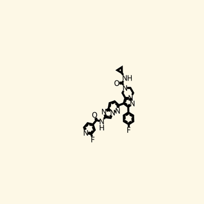 O=C(Nc1cn2nc(-c3c(-c4ccc(F)cc4)nn4c3CN(C(=O)NC3CC3)CC4)ccc2n1)c1ccnc(F)c1